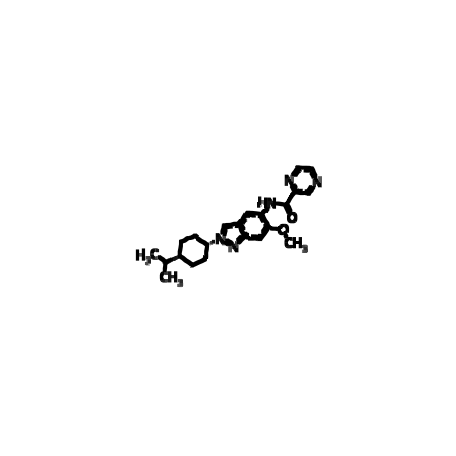 COc1cc2nn([C@H]3CC[C@H](C(C)C)CC3)cc2cc1NC(=O)c1cnccn1